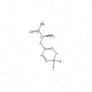 N[C@@H](CC1=CCC(F)(F)C=C1)C(=O)O